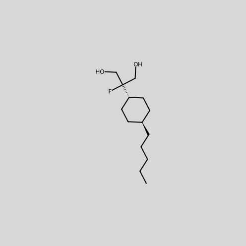 CCCCC[C@H]1CC[C@H](C(F)(CO)CO)CC1